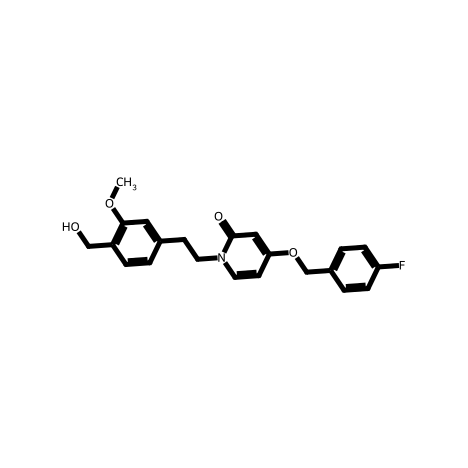 COc1cc(CCn2ccc(OCc3ccc(F)cc3)cc2=O)ccc1CO